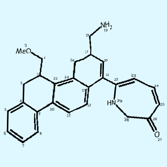 COCC1Cc2ccccc2-c2ccc3c(c21)CC(CN)C=C3C1=CC=CC(=O)CN1